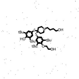 CC(C)(C)c1cc(SC2(Sc3cc(C(C)(C)C)c(OCCO)c(C(C)(C)C)c3)CCN(CCCCO)CC2)cc(C(C)(C)C)c1O